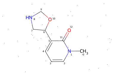 Cn1cccc(C2CNCO2)c1=O